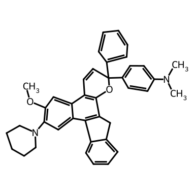 COc1cc2c3c(c4c(c2cc1N1CCCCC1)-c1ccccc1C4)OC(c1ccccc1)(c1ccc(N(C)C)cc1)C=C3